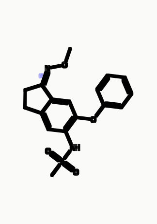 CO/N=C1/CCc2cc(NS(C)(=O)=O)c(Oc3ccccc3)cc21